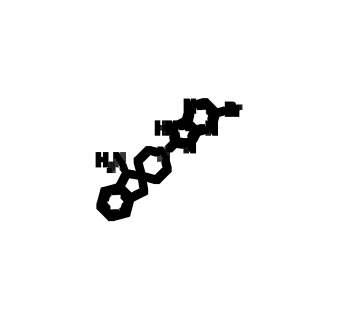 N[C@@H]1c2ccccc2CC12CCN(c1nc3nc(Br)cnc3[nH]1)CC2